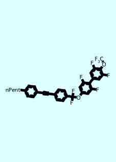 CCCCCc1ccc(C#Cc2ccc(C(F)(F)Oc3cc(F)c(-c4cc(F)c(OC(F)(F)F)c(F)c4)c(F)c3)cc2)cc1